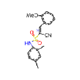 COc1ccccc1/C=C(\C#N)S(=O)(=O)Nc1ccc(C)cc1C